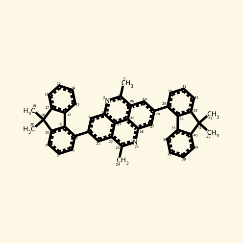 Cc1nc2cc(-c3cccc4c3-c3ccccc3C4(C)C)cc3c(C)nc4cc(-c5cccc6c5-c5ccccc5C6(C)C)cc1c4c23